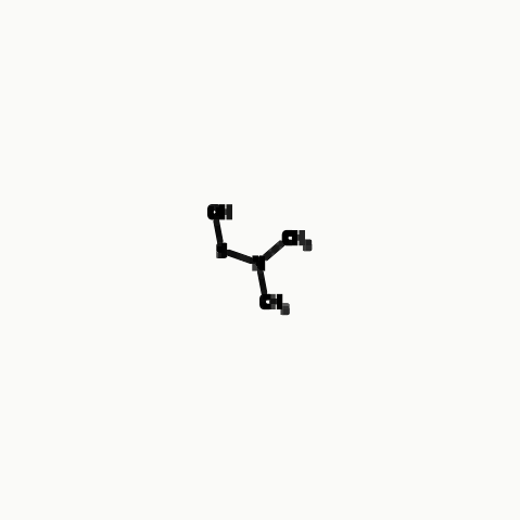 CN(C)SO